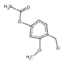 COc1cc(OC(N)=O)ccc1C[O]